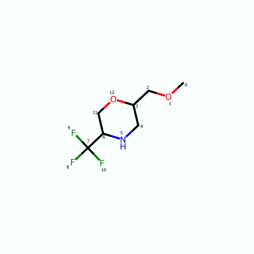 COCC1CNC(C(F)(F)F)CO1